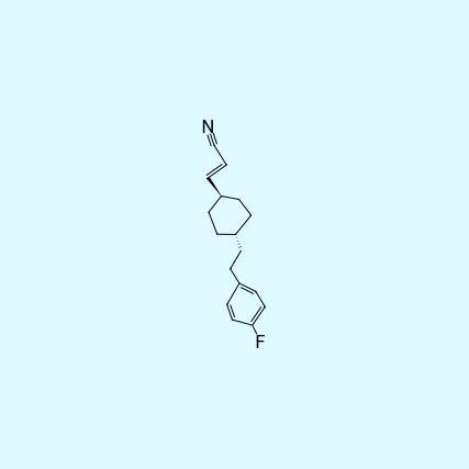 N#C/C=C/[C@H]1CC[C@H](CCc2ccc(F)cc2)CC1